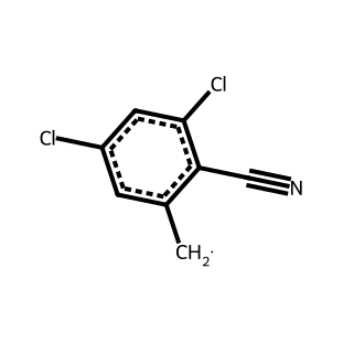 [CH2]c1cc(Cl)cc(Cl)c1C#N